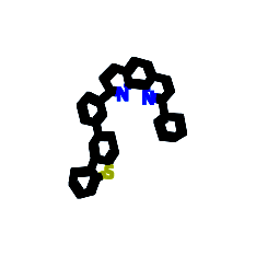 C1=C=C(c2ccc3ccc4ccc(-c5cccc(-c6ccc7sc8ccccc8c7c6)c5)nc4c3n2)C=CC=1